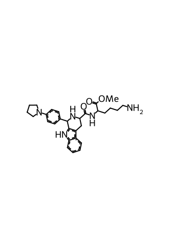 COC(=O)C(CCCCN)NC(=O)C1Cc2c([nH]c3ccccc23)C(c2ccc(N3CCCC3)cc2)N1